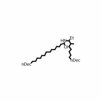 CCCCCCCCCCCCCCCCCCCCCCCC(O)NC(CC)C(C)CCCCCCCCCCCCCCC